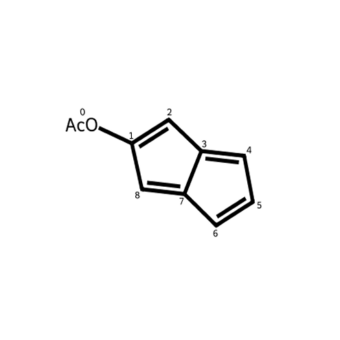 CC(=O)OC1=CC2=CC=CC2=C1